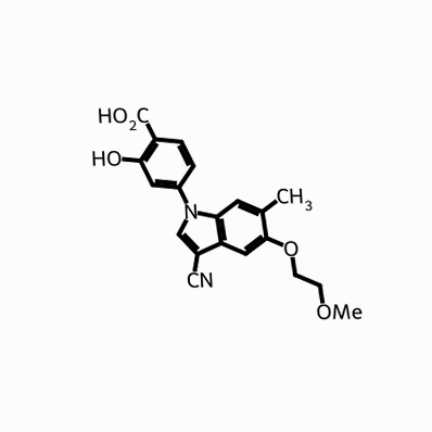 COCCOc1cc2c(C#N)cn(-c3ccc(C(=O)O)c(O)c3)c2cc1C